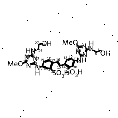 COc1nc(NCCO)nc(Nc2ccc(C=Cc3ccc(Nc4nc(NCCO)nc(OC)n4)cc3S(=O)(=O)O)c(S(=O)(=O)O)c2)n1